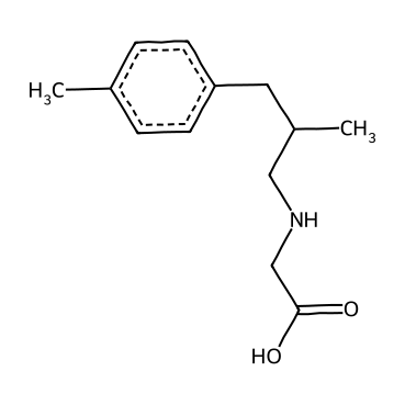 Cc1ccc(CC(C)CNCC(=O)O)cc1